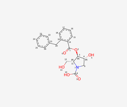 O=C(O[C@H]1[C@H](O)CN(C(=O)O)[C@@H]1CO)c1ccccc1Cc1ccccc1